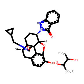 O=C(O)C(O)C(O)C(=O)O.O=c1c2ccccc2[nH]n1[C@@H]1CCC2(O)[C@H]3Cc4ccc(O)c5c4[C@@]2(CCN3CC2CC2)[C@H]1O5